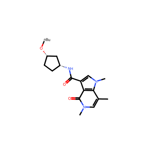 CCCCO[C@H]1CC[C@@H](NC(=O)c2cn(C)c3c(C)cn(C)c(=O)c23)C1